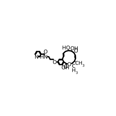 C[C@@H]1/C=C\C(=O)[C@@H](O)[C@@H](O)C/C=C/c2cc(OCCCNC(=O)c3cccnc3)cc(O)c2C(=O)O[C@H]1C